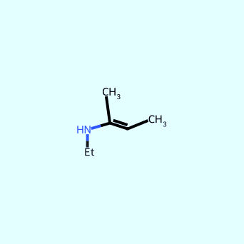 CC=C(C)NCC